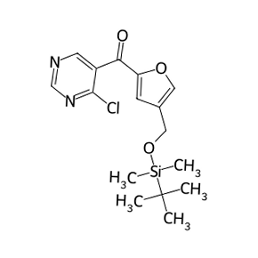 CC(C)(C)[Si](C)(C)OCc1coc(C(=O)c2cncnc2Cl)c1